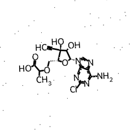 C#C[C@@]1(O)[C@@H](COC(C)C(=O)O)O[C@@H](n2cnc3c(N)nc(Cl)nc32)[C@@H]1O